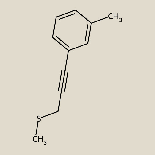 CSCC#Cc1cccc(C)c1